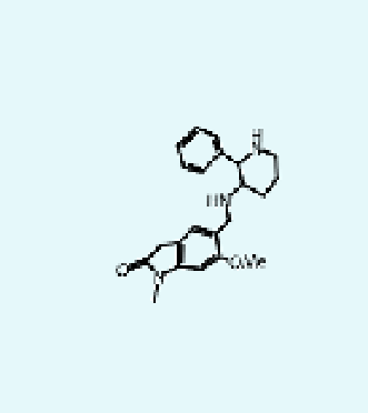 COc1cc2c(cc1CNC1CCCNC1c1ccccc1)CC(=O)N2C